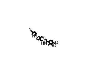 CNC(CN1CCC2(CC1)CCN(c1ccc(C#N)cn1)C2)c1ccc2c(c1C)COC2=O